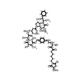 CC[C@H](C)[C@@H]([C@@H](CC(=O)N1CCC[C@H]1[C@H](OC)[C@@H](C)C(=O)N[C@H](C)[C@@H](O)c1ccccc1)OC)N(C)C(=O)[C@@H](NC(=O)[C@H](C(C)C)N(C)C(=O)OCc1ccc(NCN[C@H](C(=O)C(=O)CCCCCN2C(=O)CC(SC)C2=O)C(C)C)cc1)C(C)C